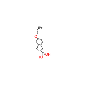 CC(C)CCOc1ccc2cc(B(O)O)ccc2c1